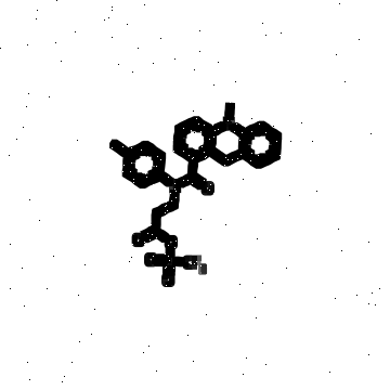 Cc1ccc(N(CCC(=O)OS(=O)(=O)C(F)(F)F)C(=O)c2cccc3c2Cc2ccccc2N3C)cc1